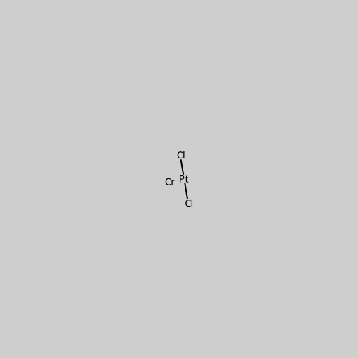 [Cl][Pt][Cl].[Cr]